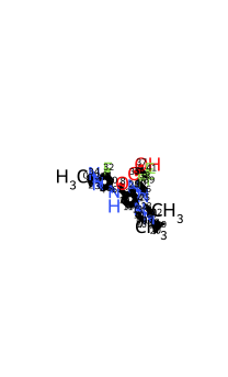 Cc1cn2cc(NC(=O)c3ccc(N4C[C@@H](C)N(C5CC5)[C@@H](C)C4)c4nccnc34)cc(F)c2n1.O=C(O)C(F)(F)F